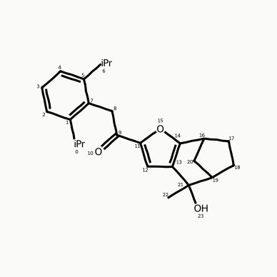 CC(C)c1cccc(C(C)C)c1CC(=O)c1cc2c(o1)C1CCC(C1)C2(C)O